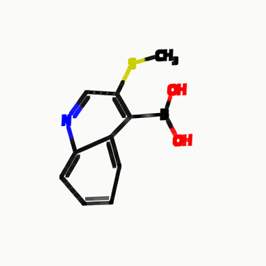 CSc1cnc2ccccc2c1B(O)O